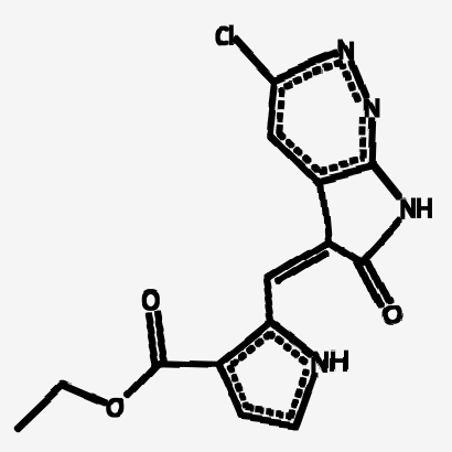 CCOC(=O)c1cc[nH]c1/C=C1\C(=O)Nc2nnc(Cl)cc21